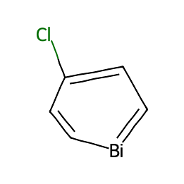 ClC1=C[CH]=[Bi][CH]=C1